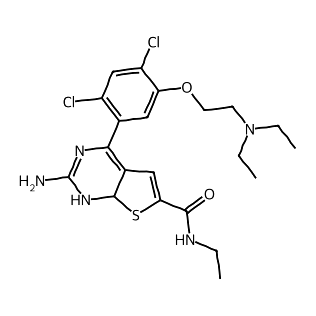 CCNC(=O)C1=CC2=C(c3cc(OCCN(CC)CC)c(Cl)cc3Cl)N=C(N)NC2S1